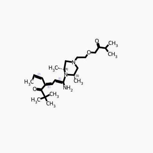 C\C=C/C(=C\C=C(/N)N1[C@H](C)CN(CCOCC(=O)C(C)C)C[C@@H]1C)C(=O)C(C)(C)C